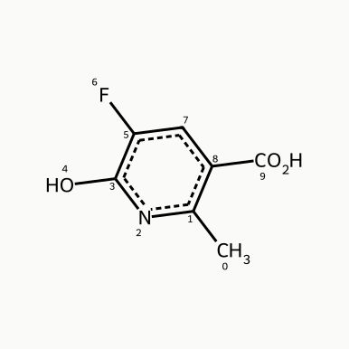 Cc1nc(O)c(F)cc1C(=O)O